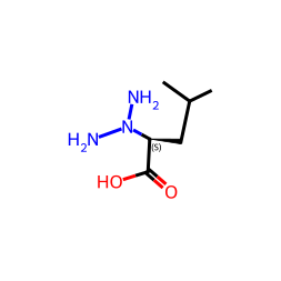 CC(C)C[C@@H](C(=O)O)N(N)N